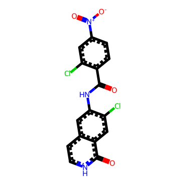 O=C(Nc1cc2cc[nH]c(=O)c2cc1Cl)c1ccc([N+](=O)[O-])cc1Cl